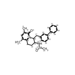 Cc1cc(C)c(=O)n2c1CCC(N[S+](C)[O-])C2Cc1cccc(-c2ccccc2)c1